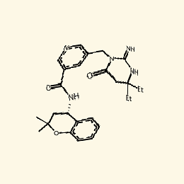 CCC1(CC)CC(=O)N(Cc2cncc(C(=O)N[C@H]3CC(C)(C)Oc4ccccc43)c2)C(=N)N1